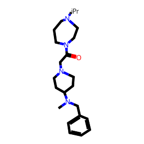 CC(C)N1CCCN(C(=O)CN2CCC(N(C)Cc3ccccc3)CC2)CC1